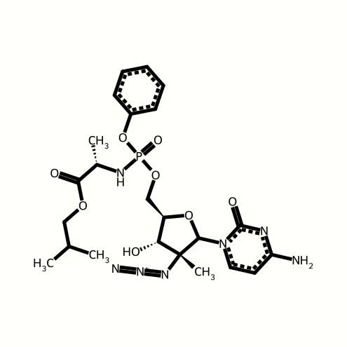 CC(C)COC(=O)[C@H](C)NP(=O)(OC[C@H]1OC(n2ccc(N)nc2=O)[C@](C)(N=[N+]=[N-])[C@@H]1O)Oc1ccccc1